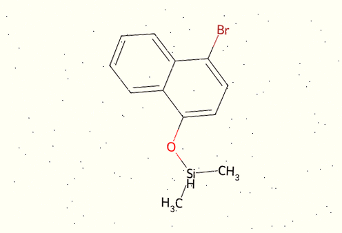 C[SiH](C)Oc1ccc(Br)c2ccccc12